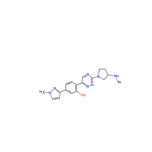 CC(C)NC1CCN(c2ncc(-c3ccc(-c4ccn(C)n4)cc3O)nn2)C1